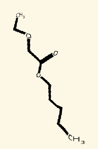 CCCCCOC(=O)COCC